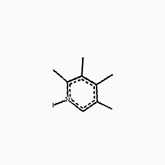 Cc1c[n+](I)c(C)c(C)c1C